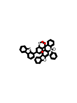 O=P1(c2ccccc2)c2ccccc2C2(c3ccccc3Sc3cc(-c4cccc5c4sc4ccccc45)ccc32)c2cc3c(cc21)oc1ccccc13